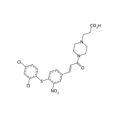 O=C(O)CCN1CCN(C(=O)C=Cc2ccc(Sc3ccc(Cl)cc3Cl)c([N+](=O)[O-])c2)CC1